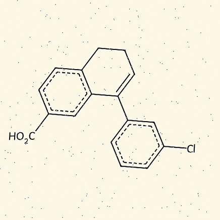 O=C(O)c1ccc2c(c1)C(c1cccc(Cl)c1)=CCC2